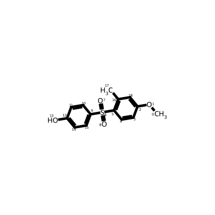 COc1ccc(S(=O)(=O)c2ccc(O)cc2)c(C)c1